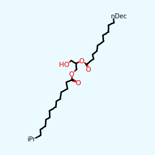 CCCCCCCCCCCCCCCCCCCC(=O)OC(CO)COC(=O)CCCCCCCCCCCCC(C)C